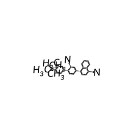 Cc1cc(-c2ccc(-c3ccc(C#N)c4ccccc34)cc2C#N)ccc1C(C)(C)C